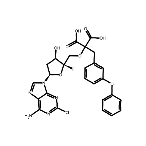 Nc1nc(Cl)nc2c1ncn2[C@H]1C[C@@H](O)[C@](F)(COC(Cc2cccc(Oc3ccccc3)c2)(C(=O)O)C(=O)O)O1